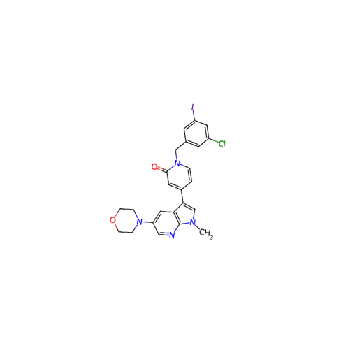 Cn1cc(-c2ccn(Cc3cc(Cl)cc(I)c3)c(=O)c2)c2cc(N3CCOCC3)cnc21